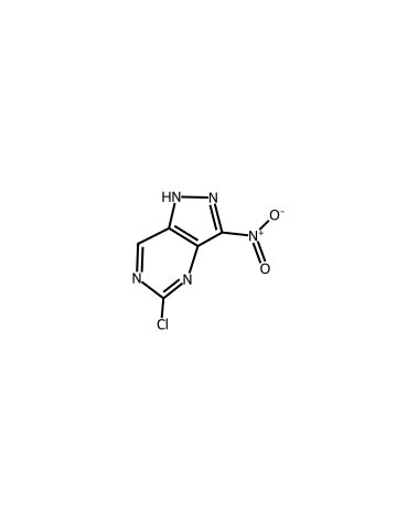 O=[N+]([O-])c1n[nH]c2cnc(Cl)nc12